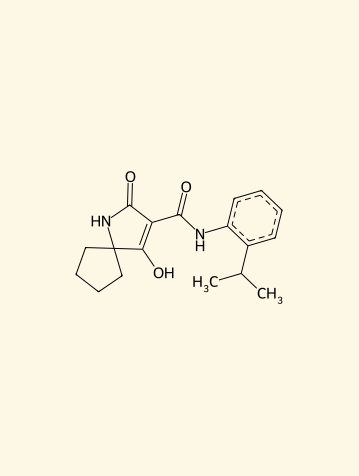 CC(C)c1ccccc1NC(=O)C1=C(O)C2(CCCC2)NC1=O